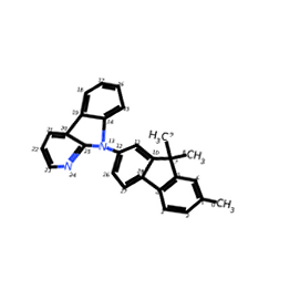 Cc1ccc2c(c1)C(C)(C)c1cc(-n3c4ccccc4c4cccnc43)ccc1-2